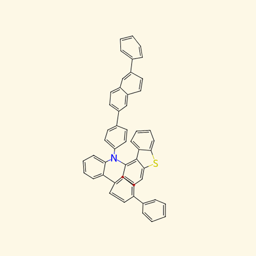 c1ccc(-c2ccc(-c3ccccc3N(c3ccc(-c4ccc5cc(-c6ccccc6)ccc5c4)cc3)c3cccc4sc5ccccc5c34)cc2)cc1